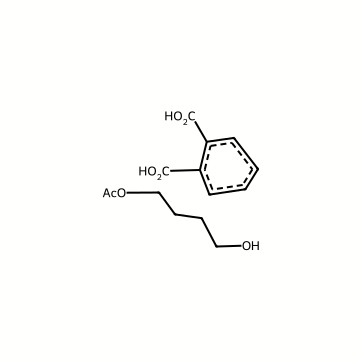 CC(=O)OCCCCO.O=C(O)c1ccccc1C(=O)O